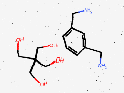 NCc1cccc(CN)c1.OCC(CO)(CO)CO